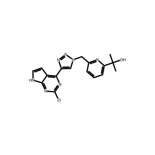 CC(C)(O)c1cccc(Cn2cc(-c3nc(Cl)nc4[nH]ccc34)nn2)n1